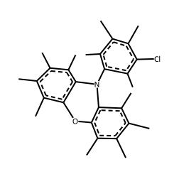 Cc1c(C)c(C)c2c(c1C)Oc1c(C)c(C)c(C)c(C)c1N2c1c(C)c(C)c(C)c(Cl)c1C